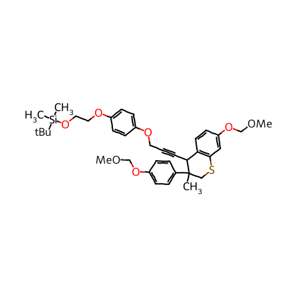 COCOc1ccc(C2(C)CSc3cc(OCOC)ccc3C2C#CCOc2ccc(OCCO[Si](C)(C)C(C)(C)C)cc2)cc1